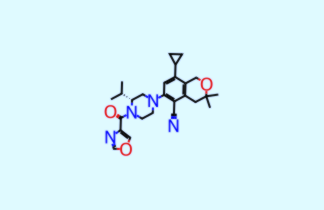 CC(C)[C@@H]1CN(c2cc(C3CC3)c3c(c2C#N)CC(C)(C)OC3)CCN1C(=O)c1cocn1